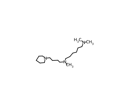 CN(C)CCCCCCN(C)CCCCN1CCCCC1